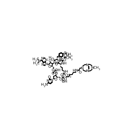 COc1ccc(C[C@H](NC(=O)[C@@H](CCCNC(C)=O)NC(=O)OC(C)(C)C)C(=O)NC2[C@@H](COP(=O)(O)OC3C[C@H](n4ccc(N)nc4=O)O[C@@H]3COP(=O)(O)OCCCCCCNC(=O)CN3CCN4/C=C\N(CCN(C)CC4)CC3)O[C@@H](n3cnc4c(N(C)C)ncnc43)[C@H]2O)cc1